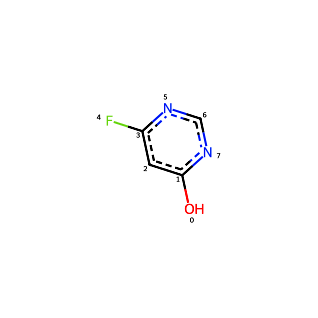 Oc1cc(F)ncn1